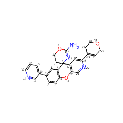 NC1=NC2(CCO1)c1cc(-c3cccnc3)ccc1Oc1cnc(C3=CCOCC3)cc12